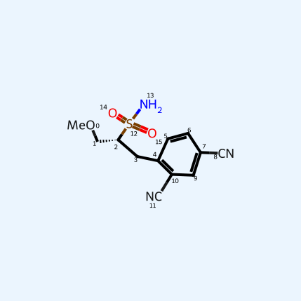 COC[C@@H](Cc1ccc(C#N)cc1C#N)S(N)(=O)=O